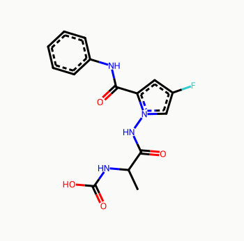 CC(NC(=O)O)C(=O)Nn1cc(F)cc1C(=O)Nc1ccccc1